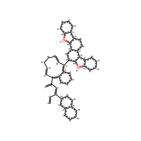 C=C/C(=C\C(=C)C1=c2\cccc\c2=C(c2cc3c(ccc4c5ccccc5oc43)c3c2oc2ccccc23)\C=C\CC\C=C\1)c1ccc2ccccc2c1